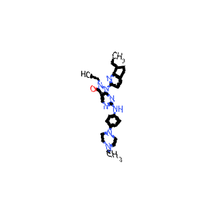 C#CCn1c(=O)c2cnc(Nc3ccc(N4CCN(C)CC4)cc3)nc2n1-c1ccc2c(n1)C(CC)CC2